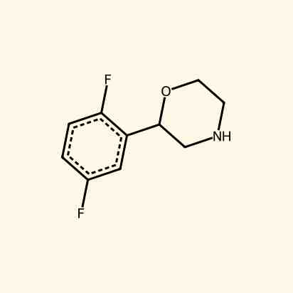 Fc1ccc(F)c(C2CNCCO2)c1